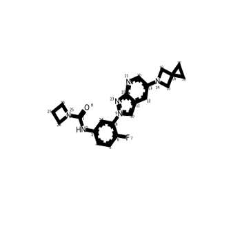 O=C(Nc1ccc(F)c(-n2cc3cc(N4CC5(CC5)C4)cnc3n2)c1)N1CCC1